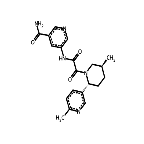 Cc1ccc([C@H]2CC[C@H](C)CN2C(=O)C(=O)Nc2cncc(C(N)=O)c2)cn1